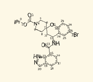 CC(C)OC(=O)N1CCC2(CC1)CC(NC(=O)c1cccc3cn[nH]c13)c1cc(Br)ccc1O2